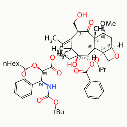 CCCCCCC(=O)O[C@@H](C(=O)O[C@H]1C[C@@]2(O)[C@@H](OC(=O)c3ccccc3)[C@@H]3[C@]4(OC(C)C)CO[C@@H]4C[C@H](OC)[C@@]3(C)C(=O)[C@H](CO)C(=C1C)C2(C)C)[C@@H](NC(=O)OC(C)(C)C)c1ccccc1